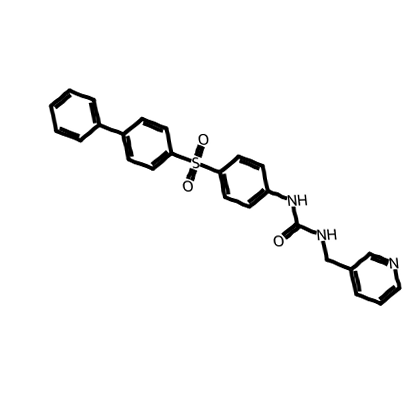 O=C(NCc1cccnc1)Nc1ccc(S(=O)(=O)c2ccc(-c3ccccc3)cc2)cc1